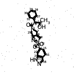 C[C@H](O)[C@@H](C(=O)N1Cc2cn(S(=O)(=O)c3ccc4cn[nH]c4c3)nc2C1)c1ccccc1